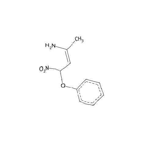 CC(N)=CC(Oc1ccccc1)[N+](=O)[O-]